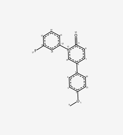 COc1ccc(-c2ccc(=O)n(-c3cccc(F)c3)c2)cc1